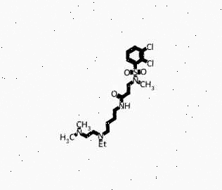 CCN(CCCCNC(=O)CCN(C)S(=O)(=O)c1cccc(Cl)c1Cl)CCN(C)C